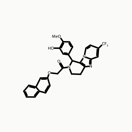 COc1ccc(C2c3c(nc4cc(C(F)(F)F)ccn34)CCN2C(=O)COc2ccc3ccccc3c2)cc1O